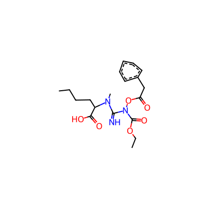 CCCCC(C(=O)O)N(C)C(=N)N(OC(=O)Cc1ccccc1)C(=O)OCC